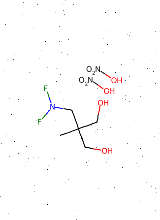 CC(CO)(CO)CN(F)F.O=[N+]([O-])O.O=[N+]([O-])O